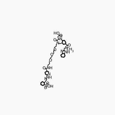 CN(Cc1nc2ccccc2[nH]1)C(=O)c1ccc2c(c1)CN(CCCOCCOCCOCCCNC(=O)c1ccc(NN=Cc3ccccc3S(=O)(=O)O)nc1)C(=O)C(CC(=O)O)N2